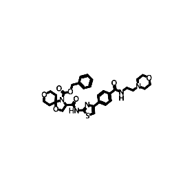 O=C(NCCN1CCOCC1)c1ccc(-c2csc(NC(=O)C3COC4(CCOCC4)N3C(=O)OCc3ccccc3)n2)cc1